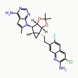 Cc1cc2c(N)ncnc2n1[C@H]1[C@@H]2OC(C)(C)O[C@@H]2[C@@]2(CCc3cc4nc(N)c(Cl)cc4cc3F)C[C@H]12